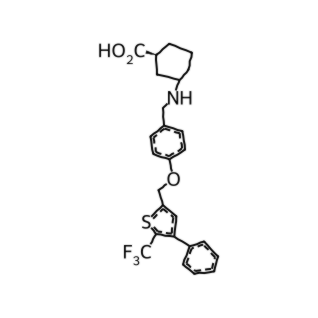 O=C(O)[C@H]1CCCC(NCc2ccc(OCc3cc(-c4ccccc4)c(C(F)(F)F)s3)cc2)C1